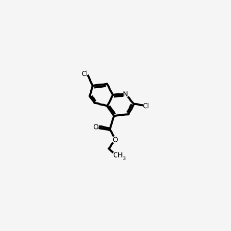 CCOC(=O)c1cc(Cl)nc2cc(Cl)ccc12